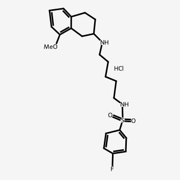 COc1cccc2c1CC(NCCCCCNS(=O)(=O)c1ccc(F)cc1)CC2.Cl